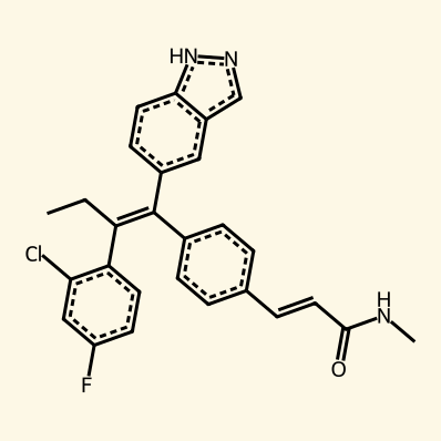 CC/C(=C(/c1ccc(/C=C/C(=O)NC)cc1)c1ccc2[nH]ncc2c1)c1ccc(F)cc1Cl